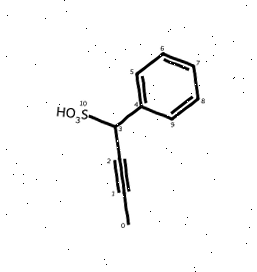 CC#CC(c1ccccc1)S(=O)(=O)O